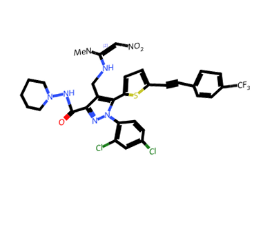 CN/C(=C/[N+](=O)[O-])NCc1c(C(=O)NN2CCCCC2)nn(-c2ccc(Cl)cc2Cl)c1-c1ccc(C#Cc2ccc(C(F)(F)F)cc2)s1